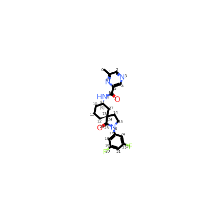 Cc1cncc(C(=O)N[C@H]2CCC[C@]3(CCN(c4cc(F)cc(F)c4)C3=O)C2)n1